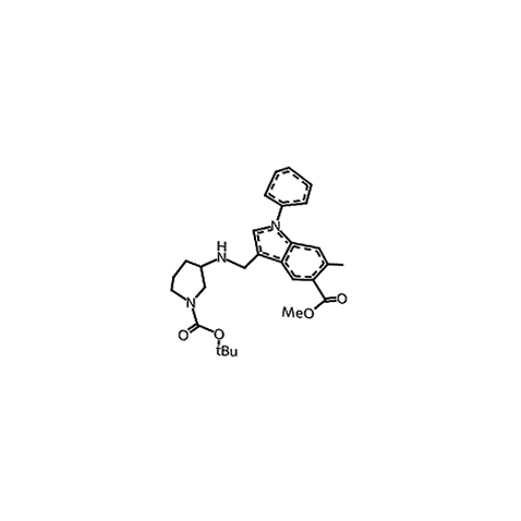 COC(=O)c1cc2c(CNC3CCCN(C(=O)OC(C)(C)C)C3)cn(-c3ccccc3)c2cc1C